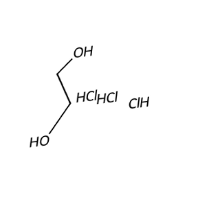 Cl.Cl.Cl.OCCO